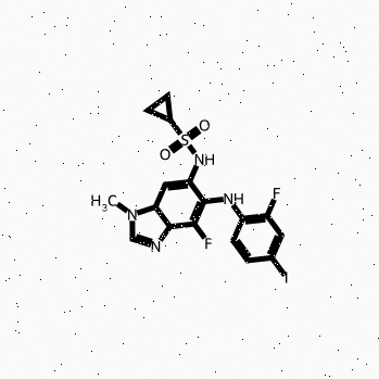 CN1C=NC2C(F)=C(Nc3ccc(I)cc3F)C(NS(=O)(=O)C3CC3)=CC21